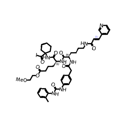 COCCOC(=O)CCC[C@H](NC(=O)[C@@H](CCCCNC(=O)/C=C/c1cccnc1)NC(=O)Cc1ccc(NC(=O)Nc2ccccc2C)cc1)C(=O)NC1(C(=O)I)CCCCC1